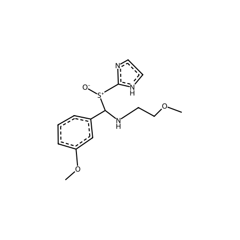 COCCNC(c1cccc(OC)c1)[S+]([O-])c1ncc[nH]1